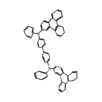 C1=Cc2c(c3ccccc3c3ccc(N(c4ccccc4)c4ccc(-c5ccc(N(c6ccccc6)c6ccc7c8c(c9ccccc9c7c6)CCC=C8)cc5)cc4)cc23)CC1